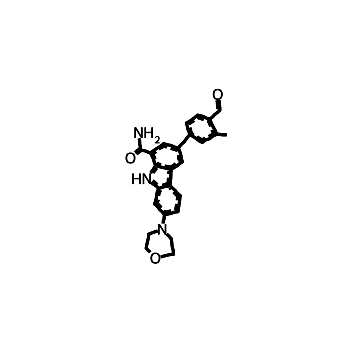 Cc1cc(-c2cc(C(N)=O)c3[nH]c4cc(N5CCOCC5)ccc4c3c2)ccc1C=O